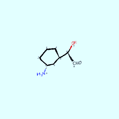 N[C@@H]1CCC[C@@H]([C@@H](O)C=O)C1